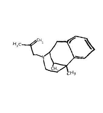 C=C(C)CN1CCC2(C)c3ccccc3CC1C2C